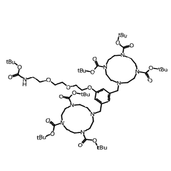 CC(C)(C)OC(=O)NCCOCCOCCOc1cc(CN2CCN(C(=O)OC(C)(C)C)CCN(C(=O)OC(C)(C)C)CCN(C(=O)OC(C)(C)C)CC2)cc(CN2CCN(C(=O)OC(C)(C)C)CCN(C(=O)OC(C)(C)C)CCN(C(=O)OC(C)(C)C)CC2)c1